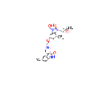 CC1(O)CC(n2c(=O)n(CO)c3cc(OCCN4CCC5(CC4)C(=O)Nc4ccc(C#N)cc45)cc(C(F)(F)F)c32)C1